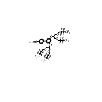 CCCCCc1ccc(-c2cc(OC(COCC(F)(F)C(F)(F)C(F)(F)F)COCC(F)(F)C(F)(F)C(F)(F)F)cc(OC(COCC(F)(F)C(F)(F)C(F)(F)F)COCC(F)(F)C(F)(F)C(F)(F)F)c2)cc1